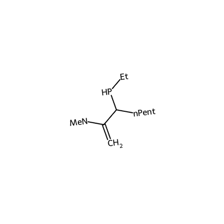 C=C(NC)C(CCCCC)PCC